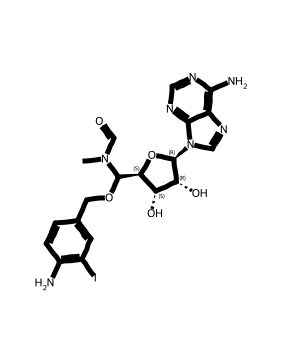 CN(C=O)C(OCc1ccc(N)c(I)c1)[C@H]1O[C@@H](n2cnc3c(N)ncnc32)[C@H](O)[C@@H]1O